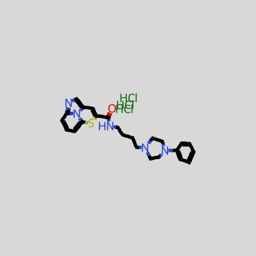 Cl.Cl.Cl.O=C(NCCCCN1CCN(c2ccccc2)CC1)C1=Cc2cnc3cccc(n23)S1